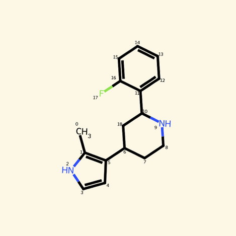 Cc1[nH]ccc1C1CCNC(c2ccccc2F)C1